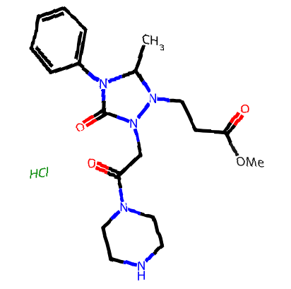 COC(=O)CCN1C(C)N(c2ccccc2)C(=O)N1CC(=O)N1CCNCC1.Cl